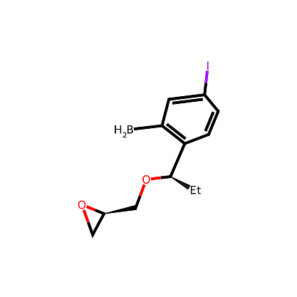 Bc1cc(I)ccc1[C@@H](CC)OC[C@H]1CO1